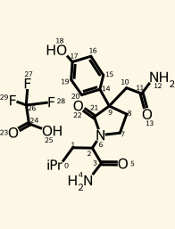 CC(C)CC(C(N)=O)N1CCC(CC(N)=O)(c2ccc(O)cc2)C1=O.O=C(O)C(F)(F)F